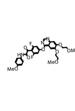 COCCOc1cc2ncnc(Oc3cc(F)c(C(=O)C(=O)Nc4ccc(OC)cc4)c(F)c3)c2cc1OCCOC